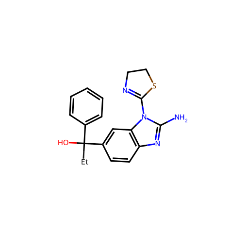 CCC(O)(c1ccccc1)c1ccc2nc(N)n(C3=NCCS3)c2c1